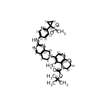 Cc1c(N2CCc3cnc(Nc4ccc(C5(S(C)(=O)=O)CC5)nc4)nc3C2)cnc2c1N(C(=O)OC(C)(C)C)CCO2